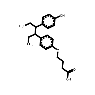 CCC(c1ccc(O)cc1)C(CC)c1ccc(OCCCC(=O)O)cc1